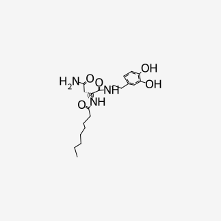 CCCCCCCC(=O)N[C@H](CC(N)=O)C(=O)NCCc1ccc(O)c(O)c1